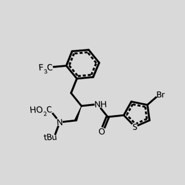 CC(C)(C)N(C[C@@H](Cc1ccccc1C(F)(F)F)NC(=O)c1cc(Br)cs1)C(=O)O